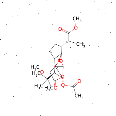 COC(=O)C(C)[C@H]1CCC23C4OCC12OC1OC(=O)[C@H](OC)C13[C@H](C(C)(C)C)[C@H]4OC(C)=O